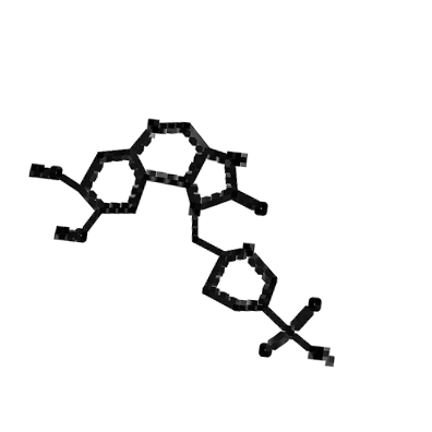 COc1cc2ncc3[nH]c(=O)n(Cc4ccc(S(N)(=O)=O)cn4)c3c2cc1OC